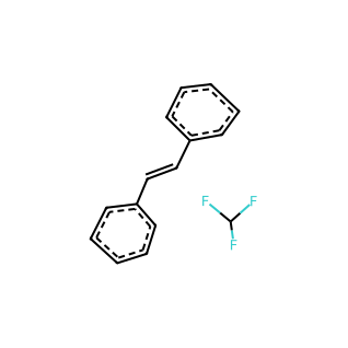 C(=Cc1ccccc1)c1ccccc1.FC(F)F